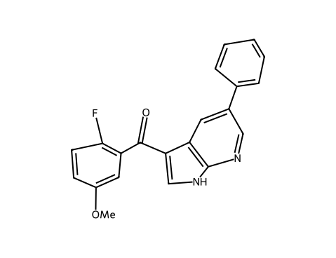 COc1ccc(F)c(C(=O)c2c[nH]c3ncc(-c4ccccc4)cc23)c1